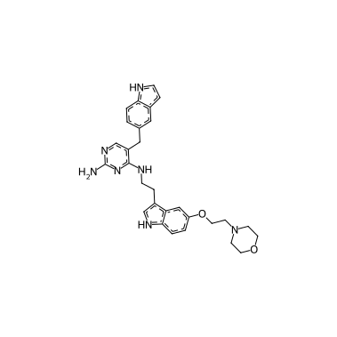 Nc1ncc(Cc2ccc3[nH]ccc3c2)c(NCCc2c[nH]c3ccc(OCCN4CCOCC4)cc23)n1